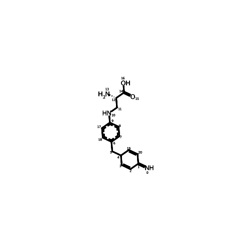 N=C1C=CC(Cc2ccc(NC[C@H](N)C(=O)O)cc2)C=C1